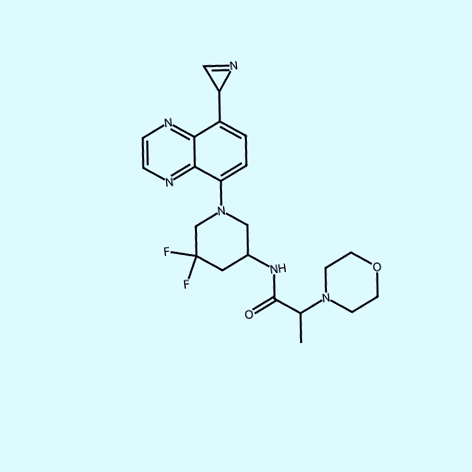 CC(C(=O)NC1CN(c2ccc(C3C=N3)c3nccnc23)CC(F)(F)C1)N1CCOCC1